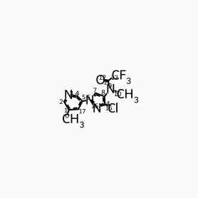 Cc1cncc(-n2cc(N(C)C(=O)C(F)(F)F)c(Cl)n2)c1